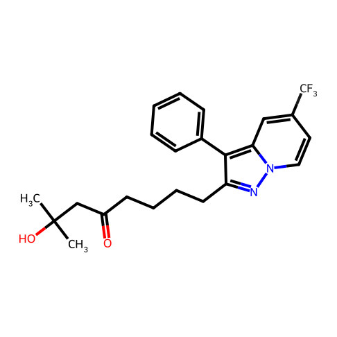 CC(C)(O)CC(=O)CCCCc1nn2ccc(C(F)(F)F)cc2c1-c1ccccc1